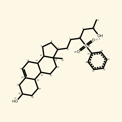 CC(O)CC(CCC1CCC2C3CC=C4CC(O)CCC4C3CCC12C)S(=O)(=O)c1ccccc1